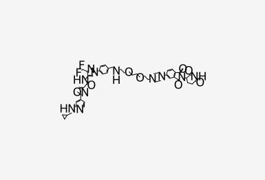 O=C1CCC(N2C(=O)c3ccc(N4CCN(CCOCCOCCNCc5ccc(-n6cc(NC(=O)c7coc(-c8ccnc(NCC9CC9)c8)n7)c(C(F)F)n6)cc5)CC4)cc3C2=O)C(=O)N1